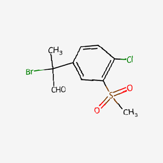 CC(Br)(C=O)c1ccc(Cl)c(S(C)(=O)=O)c1